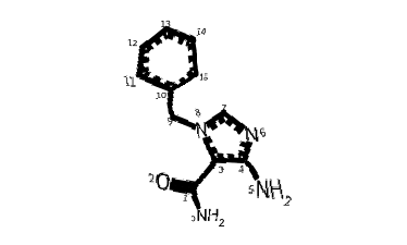 NC(=O)c1c(N)ncn1Cc1ccccc1